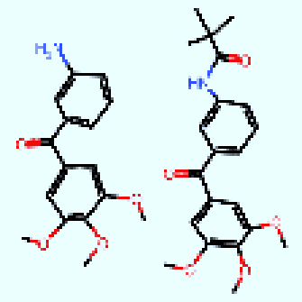 COc1cc(C(=O)c2cccc(N)c2)cc(OC)c1OC.COc1cc(C(=O)c2cccc(NC(=O)C(C)(C)C)c2)cc(OC)c1OC